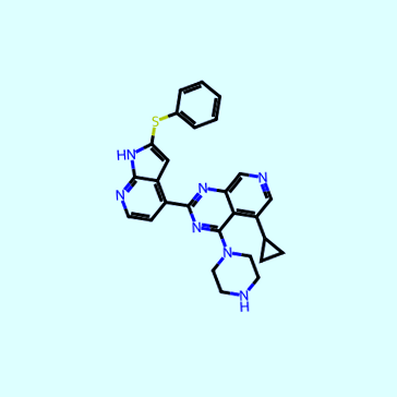 c1ccc(Sc2cc3c(-c4nc(N5CCNCC5)c5c(C6CC6)cncc5n4)ccnc3[nH]2)cc1